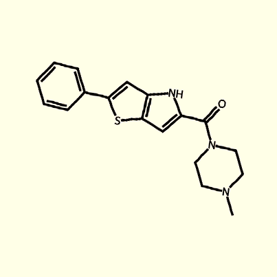 CN1CCN(C(=O)c2cc3sc(-c4ccccc4)cc3[nH]2)CC1